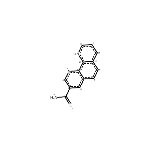 NC(=O)c1cnc2c(ccc3cccnc32)c1